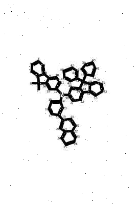 CC1(C)c2ccccc2-c2ccc(N(c3cccc(-c4ccc5ccccc5c4)c3)c3ccc4c(c3)C(c3ccccc3)(c3ccccc3)c3ccccc3-4)cc21